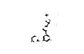 Cc1cc(Nc2nccc(C(F)(F)F)n2)cc(-c2cnc(C3(O)CN(C(C)(C)C(=O)O)C3)s2)c1